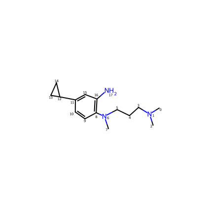 CN(C)CCCN(C)c1ccc(C2CC2)cc1N